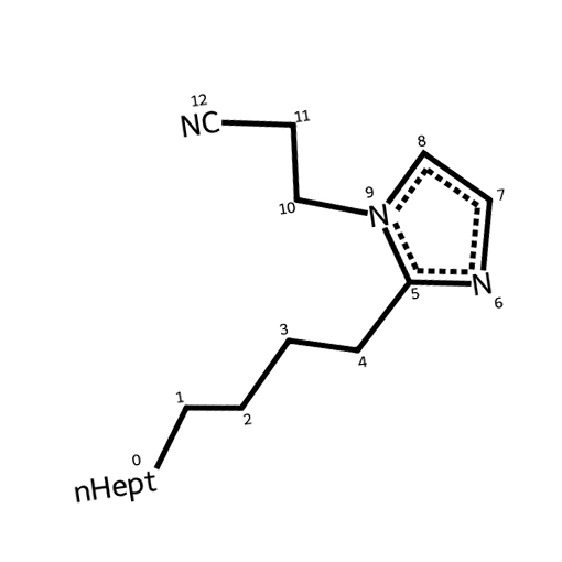 CCCCCCCCCCCc1nccn1CCC#N